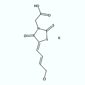 O=C(O)CN1C(=O)C(=CC=CCCl)SC1=S.[K]